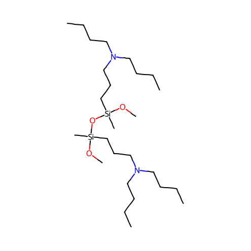 CCCCN(CCCC)CCC[Si](C)(OC)O[Si](C)(CCCN(CCCC)CCCC)OC